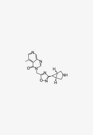 Cc1cncc2ncn(Cc3nc([C@H]4[C@@H]5CNC[C@@H]54)no3)c(=O)c12